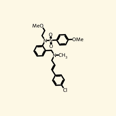 COCCN(c1ccccc1CN(C)C/C=C/c1ccc(Cl)cc1)S(=O)(=O)c1ccc(OC)cc1